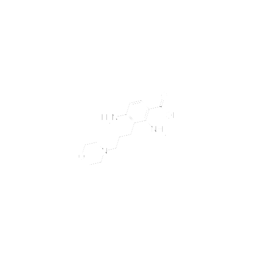 Nc1ccc(C(=O)O)c(N)c1CCCN1CCOCC1